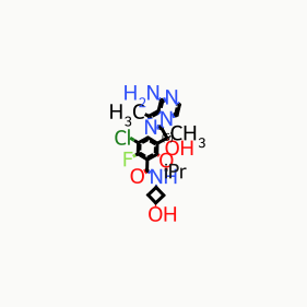 Cc1nc([C@@](C)(O)c2cc(Cl)c(F)c(C(=O)N[C@H]3C[C@@H](O)C3)c2OC(C)C)n2ccnc(N)c12